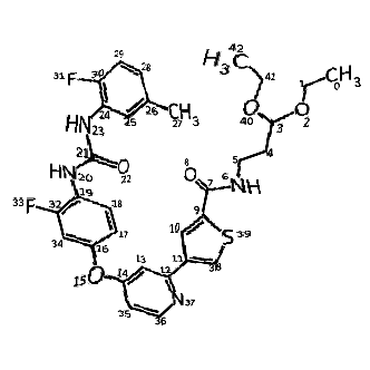 CCOC(CCNC(=O)c1cc(-c2cc(Oc3ccc(NC(=O)Nc4cc(C)ccc4F)c(F)c3)ccn2)cs1)OCC